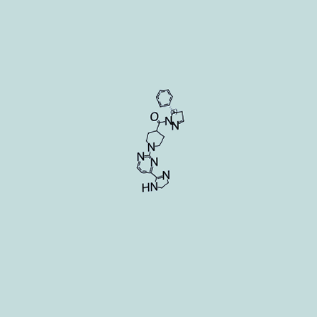 O=C(C1CCN(c2nccc(C3=NCCN3)n2)CC1)N1N=CC[C@H]1c1ccccc1